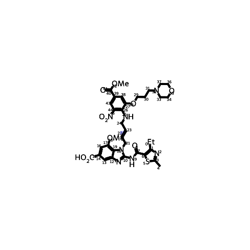 CCc1nc(C)sc1C(=O)Nc1nc2cc(C(=O)O)cc(OC)c2n1C/C=C/CNc1c(OCCCN2CCOCC2)cc(C(=O)OC)cc1[N+](=O)[O-]